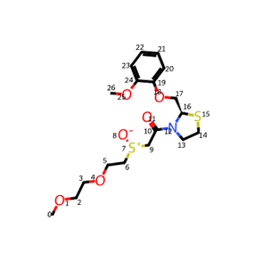 COCCOCC[S@+]([O-])CC(=O)N1CCS[C@@H]1COc1ccccc1OC